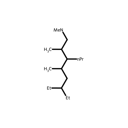 CCCC(C(C)CNC)C(C)CC(CC)CC